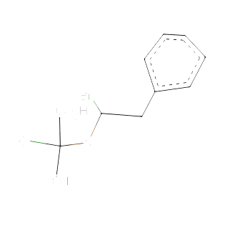 CC(Cl)(SC(Br)Cc1ccccc1)C(=O)O